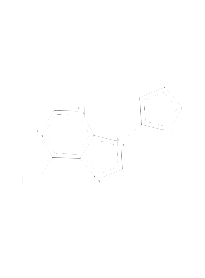 FC(F)(F)c1ncnc2c1ncn2-c1ccco1